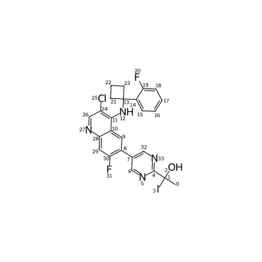 CC(O)(I)c1ncc(-c2cc3c(NC4(c5ccccc5F)CCC4)c(Cl)cnc3cc2F)cn1